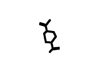 C=C(C)C1CCC(C(=C)C)CC1